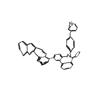 O=c1c2ccccc2c2cc(-c3cccc4c3ccc3cc5ccccc5cc34)ccc2n1-c1ccc(-c2cccnc2)cc1